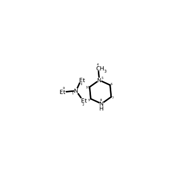 CCN(CC)CC.CN1CCNCC1